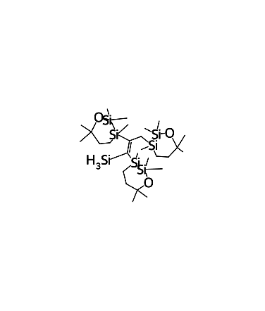 CC1(C)CC[Si](C)(CC(=C([SiH3])[Si]2(C)CCC(C)(C)O[Si]2(C)C)[Si]2(C)CCC(C)(C)O[Si]2(C)C)[Si](C)(C)O1